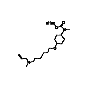 C=CCN(C)CCCCCCOC1CCC(N(C)C(=O)OCCCCCC)CC1